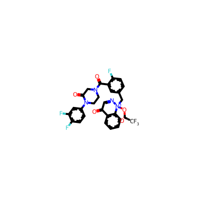 O=C1C=N[N+](Cc2ccc(F)c(C(=O)N3CCN(c4ccc(F)c(F)c4)C(=O)C3)c2)(OC(=O)C(F)(F)F)c2ccccc21